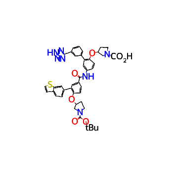 CC(C)(C)OC(=O)N1CCC(Oc2ccc(C(=O)Nc3ccc(OC4CCN(C(=O)O)C4)c(-c4cccc(-c5nn[nH]n5)c4)c3)cc2-c2ccc3ccsc3c2)C1